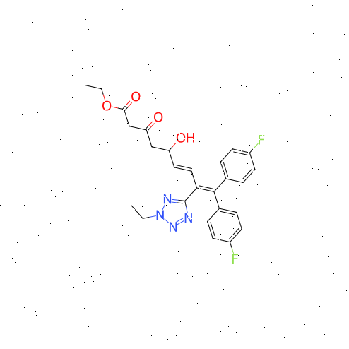 CCOC(=O)CC(=O)CC(O)/C=C/C(=C(c1ccc(F)cc1)c1ccc(F)cc1)c1nnn(CC)n1